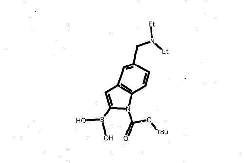 CCN(CC)Cc1ccc2c(c1)cc(B(O)O)n2C(=O)OC(C)(C)C